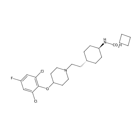 C1CCC1.O=C(O)N[C@H]1CC[C@H](CCN2CCC(Oc3c(Cl)cc(F)cc3Cl)CC2)CC1